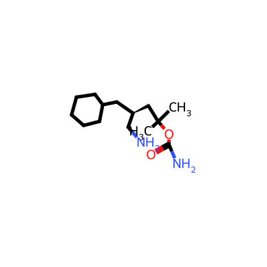 CC(C)(C[C@@H](CN)CC1CCCCC1)OC(N)=O